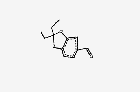 CCC1(CC)Cc2ccc(C=O)cc2O1